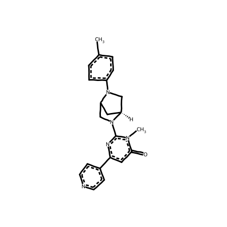 Cc1ccc(N2C[C@@H]3CC2CN3c2nc(-c3ccncc3)cc(=O)n2C)cc1